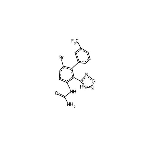 NC(=O)Nc1ccc(Br)c(-c2cccc(C(F)(F)F)c2)c1-c1nnn[nH]1